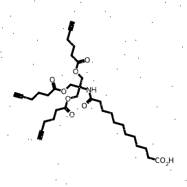 C#CCCCC(=O)OCC(COC(=O)CCCC#C)(COC(=O)CCCC#C)NC(=O)CCCCCCCCCCC(=O)O